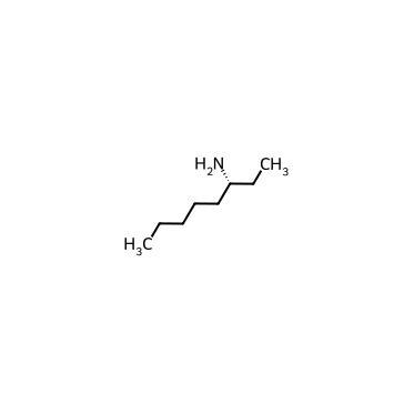 CCCCC[C@H](N)CC